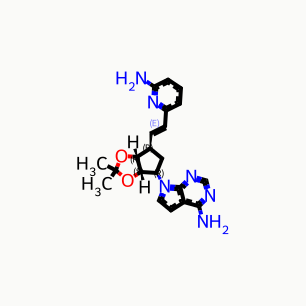 CC1(C)O[C@@H]2[C@H](O1)[C@@H](/C=C/c1cccc(N)n1)C[C@H]2n1ccc2c(N)ncnc21